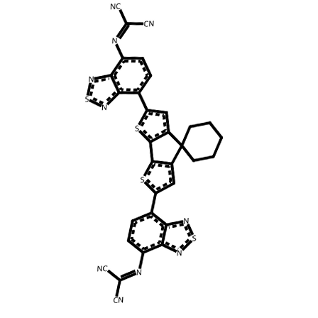 N#CC(C#N)=Nc1ccc(-c2cc3c(s2)-c2sc(-c4ccc(N=C(C#N)C#N)c5nsnc45)cc2C32CCCCC2)c2nsnc12